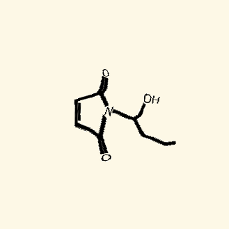 CCC(O)N1C(=O)C=CC1=O